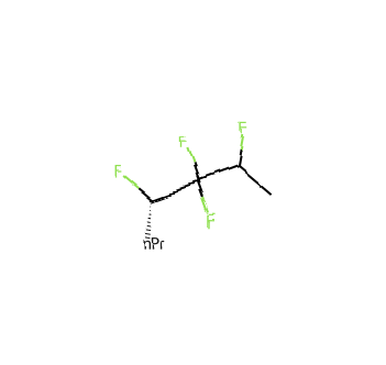 [CH2]CC[C@H](F)C(F)(F)C(C)F